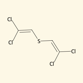 ClC(Cl)=CSC=C(Cl)Cl